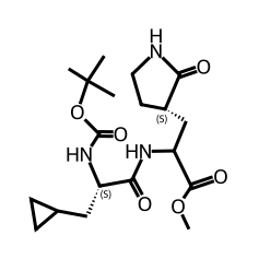 COC(=O)C(C[C@@H]1CCNC1=O)NC(=O)[C@H](CC1CC1)NC(=O)OC(C)(C)C